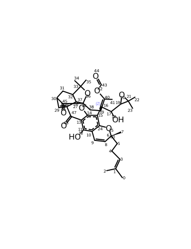 CC(C)=CCC[C@]1(C)C=Cc2c(O)c3c(c(CC(O)C4OC4(C)C)c2O1)O[C@]12C(=CC4CC1C(C)(C)OC2(C/C=C(/C)OC=O)C4=O)C3=O